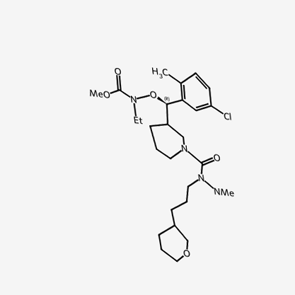 CCN(O[C@@H](c1cc(Cl)ccc1C)C1CCCN(C(=O)N(CCCC2CCCOC2)NC)C1)C(=O)OC